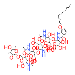 CCCCCC/C=C\CCCOc1cccc(C(=O)NC2[C@H](O[C@H]3C(O)C(NC(C)=O)C(OC4C(CO)O[C@@H](O[C@H]5C(O)C(NC(C)=O)C(OC6C(CO[C@@H]7OC(C)C(O)[C@H](C)[C@H]7OC)OC(O)[C@@H](NC(C)=O)[C@H]6O)O[C@H]5CO)[C@@H](NC(C)=O)[C@H]4O)O[C@H]3CO)OC(CO)[C@@H](O)[C@@H]2O)c1